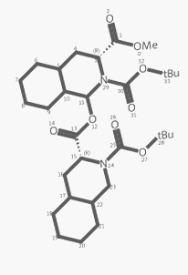 COC(=O)[C@H]1CC2CCCCC2C(OC(=O)[C@H]2CC3CCCCC3CN2C(=O)OC(C)(C)C)N1C(=O)OC(C)(C)C